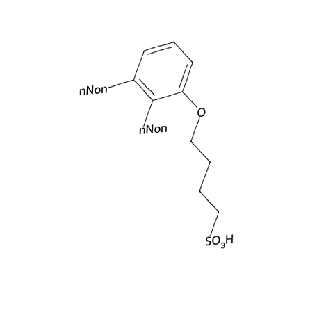 CCCCCCCCCc1cccc(OCCCCS(=O)(=O)O)c1CCCCCCCCC